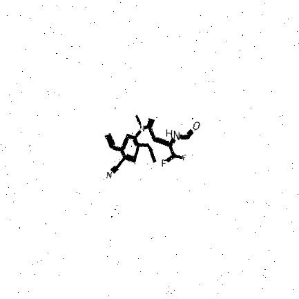 C=Cc1cc(N(C)C(=C)/C=C(\NC=O)C(F)F)c(CC)cc1C#N